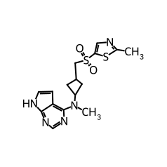 Cc1ncc(S(=O)(=O)CC2CC(N(C)c3ncnc4[nH]ccc34)C2)s1